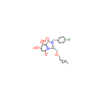 C=CCOCC1C2C1n1c(c(O)c(O)cc1=O)C(=O)N2Cc1ccc(F)cc1